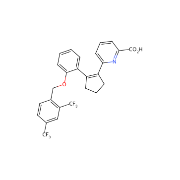 O=C(O)c1cccc(C2=C(c3ccccc3OCc3ccc(C(F)(F)F)cc3C(F)(F)F)CCC2)n1